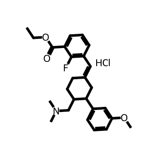 CCOC(=O)c1cccc(C=C2CCC(CN(C)C)C(c3cccc(OC)c3)C2)c1F.Cl